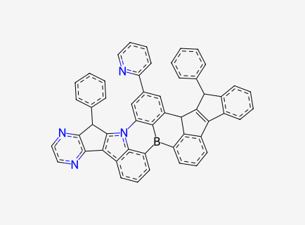 c1ccc(C2C3=C(c4ccccc42)c2cccc4c2C3c2cc(-c3ccccn3)cc3c2B4c2cccc4c5c(n-3c24)C(c2ccccc2)c2nccnc2-5)cc1